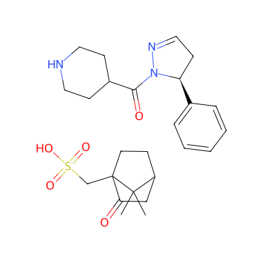 CC1(C)C2CCC1(CS(=O)(=O)O)C(=O)C2.O=C(C1CCNCC1)N1N=CC[C@H]1c1ccccc1